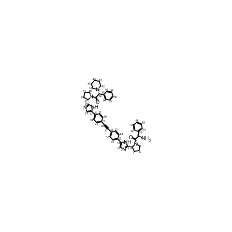 N[C@@H](C(=O)N1CCC[C@H]1c1ncc(-c2ccc(C#Cc3ccc(-c4cnc([C@@H]5CCCN5C(=O)[C@@H](c5ccccc5)N5CCCCC5)[nH]4)cc3)cc2)[nH]1)c1ccccc1